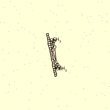 CO[Si]1(O)O[Si]23O[Si]4(O[Si](O)(OC)C56C7C8C9CCC9C8C7C5C5C7C(C56)C5C7C6C7C8C9C(C8C7C564)C4C9C5C6C7C8C9C%10C%11C%12CCC%12C%11C%10C91C8C7C6C452)O3